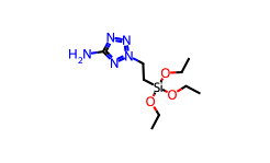 CCO[Si](CCn1nnc(N)n1)(OCC)OCC